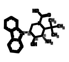 CC(C)(C)C1[C@H](N)[C@@H](O)[C@H](n2c3ccccc3c3ccccc32)CN1C(=O)O